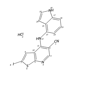 Cl.N#Cc1cnc2sc(I)cc2c1Nc1cccc2[nH]ccc12